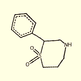 O=S1(=O)CCCNCC1c1ccccc1